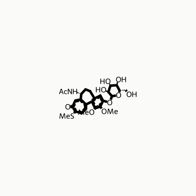 COc1c(OC2O[C@@H](CO)[C@H](O)[C@@H](O)[C@@H]2O)cc2c(c1OC)-c1ccc(SC)c(=O)cc1[C@H](NC(C)=O)CC2